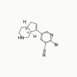 N#Cc1cc(C2=CC[C@@H]3CCNC[C@H]23)cnc1Br